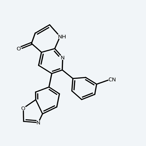 N#Cc1cccc(-c2nc3[nH]ccc(=O)c3cc2-c2ccc3ncoc3c2)c1